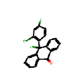 O=C1c2ccccc2C(Cl)(c2ccc(Cl)cc2Cl)c2ccccc21